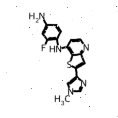 Cn1cnc(-c2cc3nccc(Nc4ccc(N)cc4F)c3s2)c1